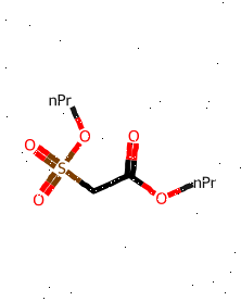 CCCOC(=O)CS(=O)(=O)OCCC